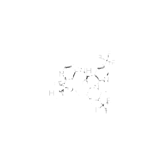 CC[C@@H]1CN(c2ncc(C(F)(F)F)cc2C(=O)Nc2ccnc(S(N)(=O)=O)c2)C[C@@H](C(F)(F)F)O1